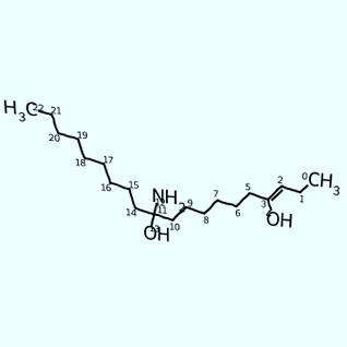 CCC=C(O)CCCCCCC(N)(O)CCCCCCCCC